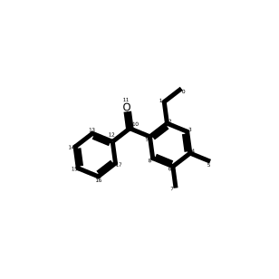 CCc1cc(C)c(C)cc1C(=O)c1ccccc1